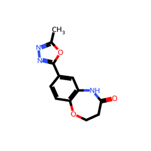 Cc1nnc(-c2ccc3c(c2)NC(=O)CCO3)o1